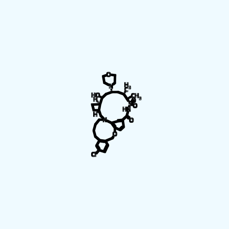 C[C@@H]1[C@@H](C)C[C@@H](N2CCOCC2)C[C@H](O)[C@@H]2CC[C@H]2CN2CCCCc3cc(Cl)ccc3COc3ccc(cc32)C(=O)NS1(=O)=O